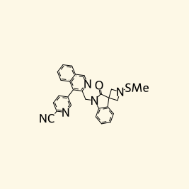 CSN1CC2(C1)C(=O)N(Cc1ncc3ccccc3c1-c1ccc(C#N)nc1)c1ccccc12